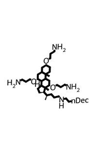 CCCCCCCCCCCCNCCC[C@@H](C)[C@H]1CC[C@H]2C3C(C[C@H](OCCCN)C12C)C1(C)CC[C@@H](OCCCN)CC1C[C@H]3OCCCN